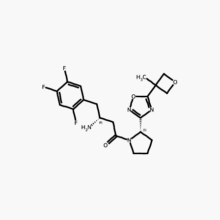 CC1(c2nc([C@@H]3CCCN3C(=O)C[C@H](N)Cc3cc(F)c(F)cc3F)no2)COC1